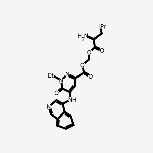 CCn1nc(C(=O)OCOC(=O)C(N)CC(C)C)cc(Nc2cncc3ccccc23)c1=O